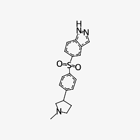 CN1CCC(c2ccc(S(=O)(=O)c3ccc4[nH]ncc4c3)cc2)C1